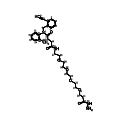 C#Cc1ccccc1CN(C(=O)CCC(=O)NCCOCCOCCOCCOCCC(=O)NN)c1ccccc1C